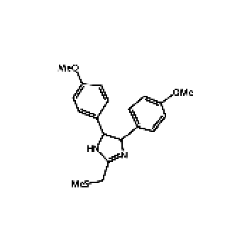 COc1ccc(C2N=C(CSC)NC2c2ccc(OC)cc2)cc1